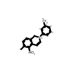 Cc1ccc2c(c1[N+](=O)[O-])C=CN(c1cccc(C(F)(F)F)c1)C2